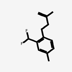 C=C(C)CCc1ccc(C)cc1C(F)F